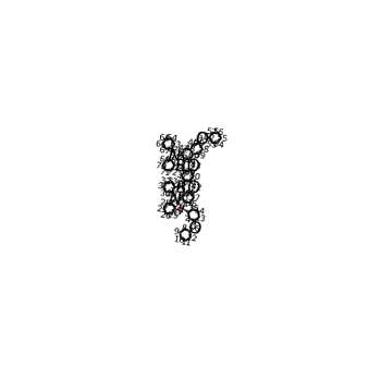 CC1(C)c2cc(Oc3ccccc3)ccc2-c2cc3c4c(c21)N(c1ccccc1)c1ccccc1B4c1cc2c(cc1O3)Oc1c3c(cc4cc(Oc5ccccc5)ccc14)N(c1ccccc1)c1ccccc1B23